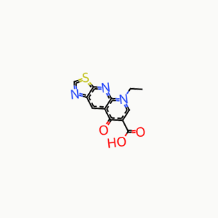 CCn1cc(C(=O)O)c(=O)c2cc3ncsc3nc21